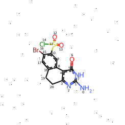 Nc1nc2c(c(=O)[nH]1)-c1cc(S(=O)(=O)Cl)c(Br)cc1CC2